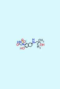 CC(C)(CO)CCN[C@@H]1CCc2cc(O)c(N3CC(=O)NS3(=O)=O)c(F)c2C1